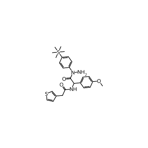 COc1ccc(C(NC(=O)Cc2ccsc2)C(=O)N(N)c2ccc(S(C)(C)(C)(C)C)cc2)cc1